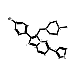 CN1CCN(Cc2c(-c3ccc(C#N)cc3)nc3ccc(-c4ccsc4)cn23)CC1